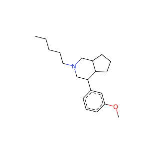 CCCCCN1CC2CCCC2C(c2cccc(OC)c2)C1